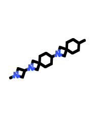 CC1CCC2(CC1)CN(C1CCC3(CC1)CN(C1CN(C)C1)C3)C2